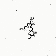 CCN[C@H](CCCC(=O)O)C(=O)NCC(=O)N[C@H](C)C(=O)CC